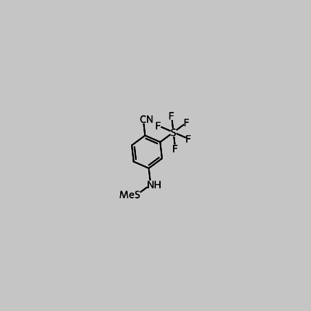 CSNc1ccc(C#N)c(S(F)(F)(F)(F)F)c1